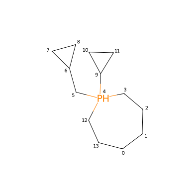 C1CCC[PH](CC2CC2)(C2CC2)CC1